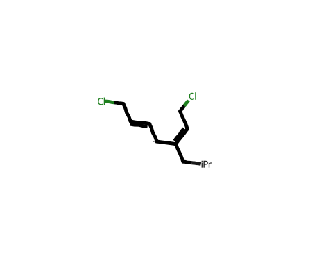 CC(C)CC([CH]C=CCCl)=CCCl